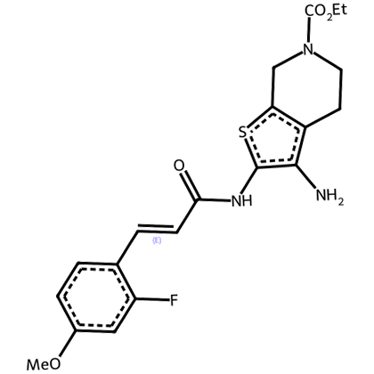 CCOC(=O)N1CCc2c(sc(NC(=O)/C=C/c3ccc(OC)cc3F)c2N)C1